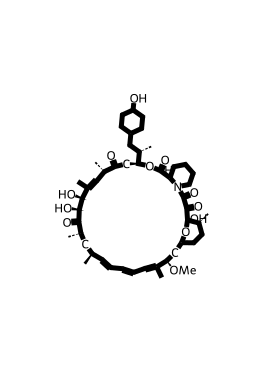 CO[C@H]1CC2CC[C@@H](C)[C@@](O)(O2)C(=O)C(=O)N2CCCC[C@H]2C(=O)O[C@H]([C@@H](C)CC2CCC(O)CC2)CC(=O)[C@@H](C)/C=C(\C)[C@H](O)[C@H](O)C(=O)[C@@H](C)C[C@H](C)/C=C/C=C/C=C/1C